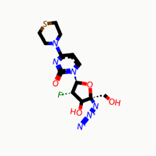 [N-]=[N+]=N[C@]1(CO)O[C@@H](n2ccc(N3CCSCC3)nc2=O)[C@@H](F)C1O